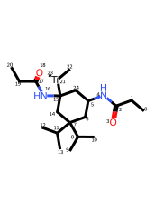 CCC(=O)NC1CC(C(C)C)(C(C)C)C[C](NC(=O)CC)([Ti]([CH3])[CH3])C1